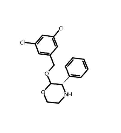 Clc1cc(Cl)cc(COC2OCCN[C@H]2c2ccccc2)c1